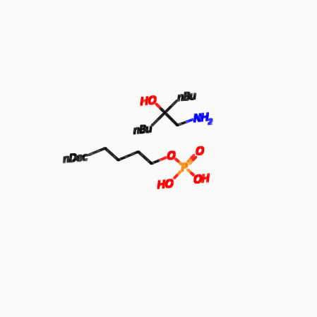 CCCCC(O)(CN)CCCC.CCCCCCCCCCCCCCOP(=O)(O)O